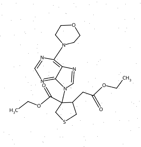 CCOC(=O)CC1CSCC1(C(=O)OCC)n1cnc2c(N3CCOCC3)ncnc21